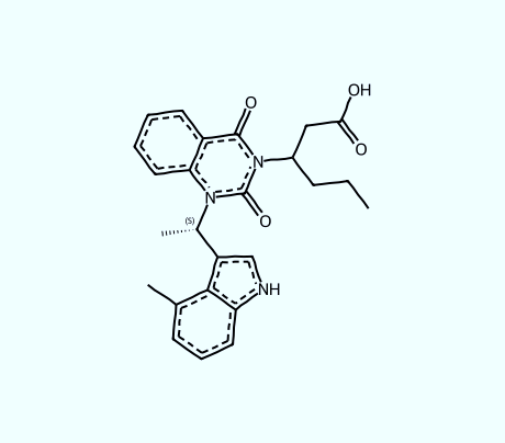 CCCC(CC(=O)O)n1c(=O)c2ccccc2n([C@@H](C)c2c[nH]c3cccc(C)c23)c1=O